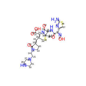 Nc1nc(/C(=N/O)C(=O)N[C@@H]2C(=O)N3C(C(=O)O)=C(C=C4CCN(CCN5CCNCC5)C4=O)CS[C@H]23)cs1